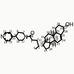 CC(CCC(=O)N1CCC(c2ccncc2)CC1)[C@H]1CC[C@H]2[C@@H]3CC=C4C[C@@H](O)CC[C@]4(C)[C@H]3CC[C@]12C